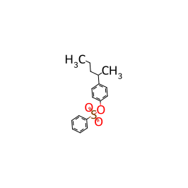 CCCC(C)c1ccc(OS(=O)(=O)c2ccccc2)cc1